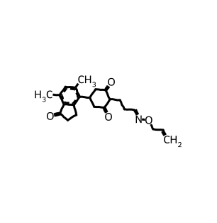 C=CCON=CCCC1C(=O)CC(c2c(C)cc(C)c3c2CCC3=O)CC1=O